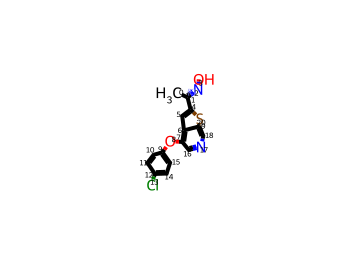 C/C(=N\O)c1cc2c(Oc3ccc(Cl)cc3)cncc2s1